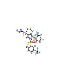 CNC1CCCc2c1cn(S(=O)(=O)c1cccc(C(F)(F)F)c1)c2-c1ccccc1F